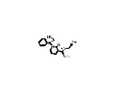 C#CCNC(=C)c1cccn([C@H](CO)c2ccccc2)c1=O